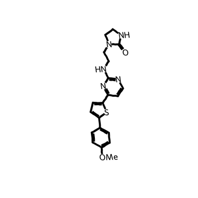 COc1ccc(-c2ccc(-c3ccnc(NCCN4CCNC4=O)n3)s2)cc1